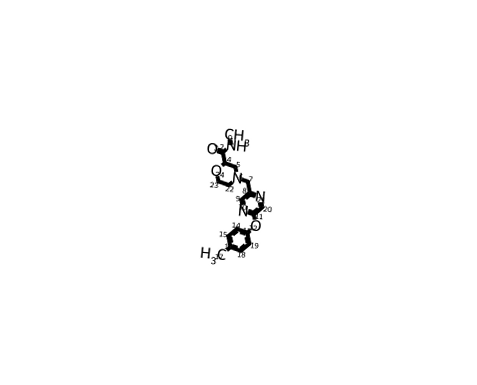 CNC(=O)C1CN(Cc2cnc(Oc3ccc(C)cc3)cn2)CCO1